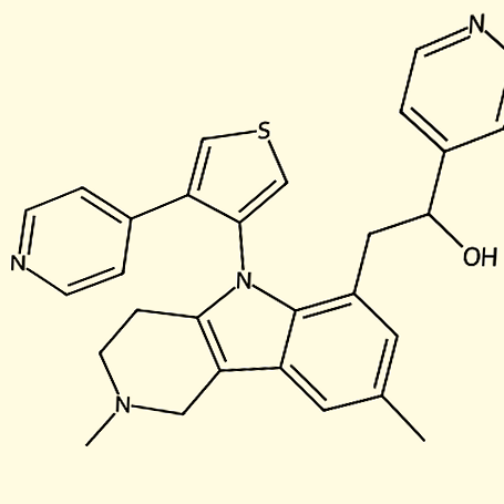 Cc1cc(CC(O)c2ccncc2)c2c(c1)c1c(n2-c2cscc2-c2ccncc2)CCN(C)C1